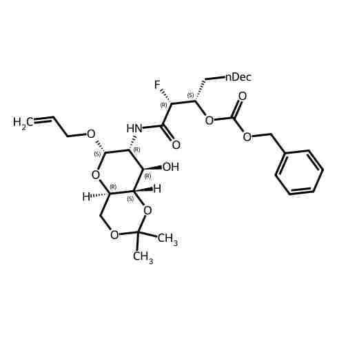 C=CCO[C@H]1O[C@@H]2COC(C)(C)O[C@H]2[C@H](O)[C@H]1NC(=O)[C@H](F)[C@H](CCCCCCCCCCC)OC(=O)OCc1ccccc1